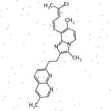 CC/C(C)=C/C=C\c1c(C)ccn2c(C)c(CCc3ccc4cc(C)cnc4n3)nc12